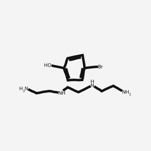 NCCNCCNCCN.Oc1ccc(Br)cc1